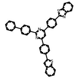 c1ccc(-c2ccc(-c3nc(-c4ccc(-c5cc6ccccc6s5)cc4)cc(-c4ccc(-c5nc6ccccc6s5)cc4)n3)cc2)cc1